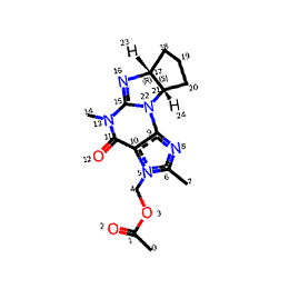 CC(=O)OCn1c(C)nc2c1C(=O)N(C)C1=N[C@@H]3CCC[C@@H]3N12